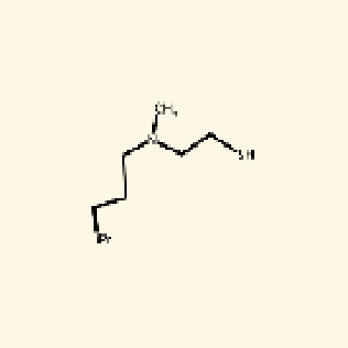 CC(C)CCCN(C)CCS